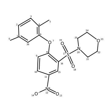 Cc1ccc(C)c(Oc2ccc([N+](=O)[O-])cc2S(=O)(=O)N2CCOCC2)c1